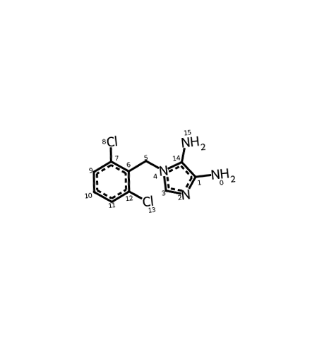 Nc1ncn(Cc2c(Cl)cccc2Cl)c1N